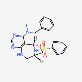 CN(Cc1ccccc1)c1ncnc2c1[C@@H]1OC[C@H](CN2)N1S(=O)(=O)c1ccccc1